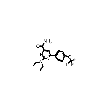 CCN(CC)c1nc(C(N)=O)cc(-c2ccc(OC(F)(F)F)cc2)n1